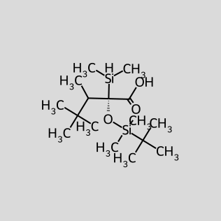 CC(C(C)(C)C)[C@](O[Si](C)(C)C(C)(C)C)(C(=O)O)[SiH](C)C